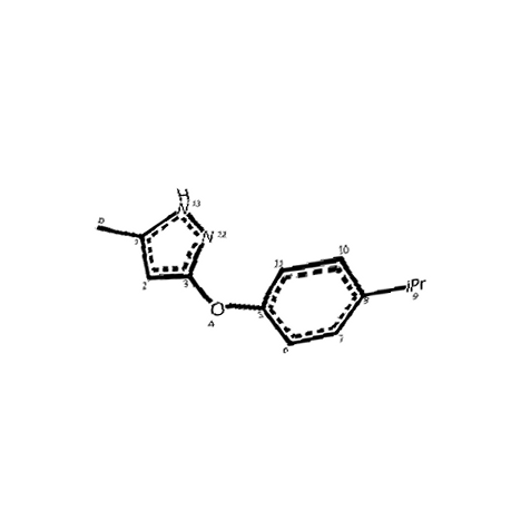 Cc1cc(Oc2ccc(C(C)C)cc2)n[nH]1